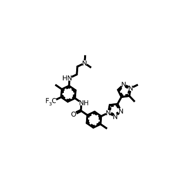 Cc1ccc(C(=O)Nc2cc(NCCN(C)C)c(C)c(C(F)(F)F)c2)cc1-n1cc(-c2cnn(C)c2C)nn1